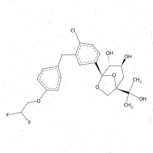 CC(C)(O)[C@@]12CO[C@@](c3ccc(Cl)c(Cc4ccc(OCC(F)F)cc4)c3)(O1)[C@H](O)[C@@H](O)C2